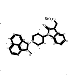 CCOC(=O)CC1C(=O)N(C2CCN([C@H]3c4cccc5cccc(c45)[C@@H]3C)CC2)c2ccccc21